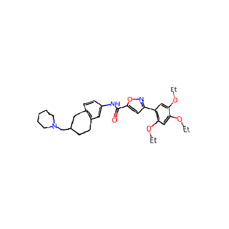 CCOc1cc(OCC)c(-c2cc(C(=O)Nc3ccc4c(c3)CCC(CN3CCCCC3)C4)on2)cc1OCC